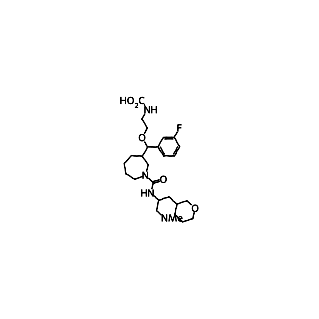 CNCC(CC1CCCOC1)NC(=O)N1CCCCC(C(OCCNC(=O)O)c2cccc(F)c2)C1